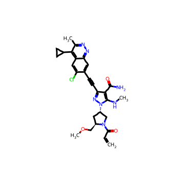 C=CC(=O)N1C[C@@H](n2nc(C#Cc3cc4nnc(C)c(C5CC5)c4cc3Cl)c(C(N)=O)c2NC)C[C@@H]1COC